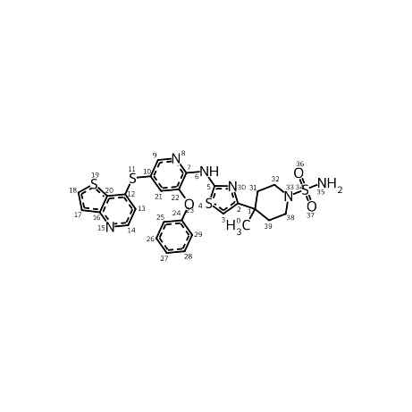 CC1(c2csc(Nc3ncc(Sc4ccnc5ccsc45)cc3Oc3ccccc3)n2)CCN(S(N)(=O)=O)CC1